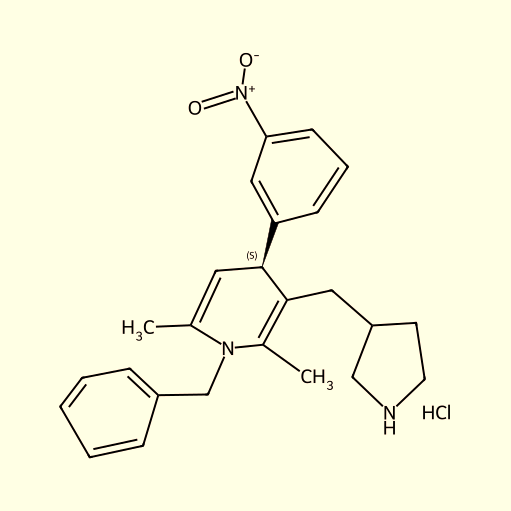 CC1=C[C@@H](c2cccc([N+](=O)[O-])c2)C(CC2CCNC2)=C(C)N1Cc1ccccc1.Cl